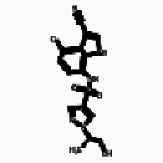 C[C@H](CO)n1cc(S(=O)(=O)Nc2ccc(Cl)c3c(C#N)c[nH]c23)cn1